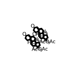 CC(=O)O[C@]1(C(C)=O)CC[C@H]2[C@@H]3CCC4=CC(=O)CC[C@]4(C)[C@H]3CC[C@@]21C.CC(=O)O[C@]1(C(C)=O)CC[C@H]2[C@@H]3C[C@H](C)C4=CC(=O)CC[C@]4(C)[C@H]3CC[C@@]21C